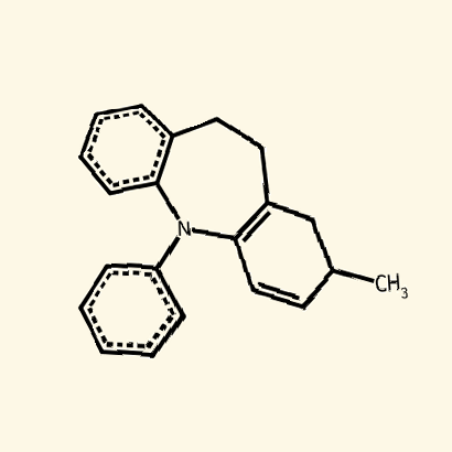 CC1C=CC2=C(CCc3ccccc3N2c2ccccc2)C1